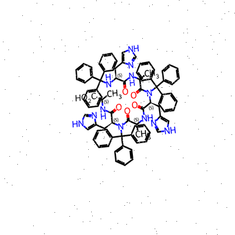 C[C@H](NC(=O)[C@H](Cc1c[nH]cn1)N(C(=O)[C@H](C)NC(=O)[C@H](Cc1c[nH]cn1)N(C(=O)[C@H](C)NC(=O)[C@H](Cc1c[nH]cn1)NC(c1ccccc1)(c1ccccc1)c1ccccc1)C(c1ccccc1)(c1ccccc1)c1ccccc1)C(c1ccccc1)(c1ccccc1)c1ccccc1)C(=O)O